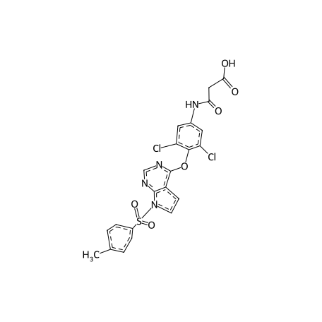 Cc1ccc(S(=O)(=O)n2ccc3c(Oc4c(Cl)cc(NC(=O)CC(=O)O)cc4Cl)ncnc32)cc1